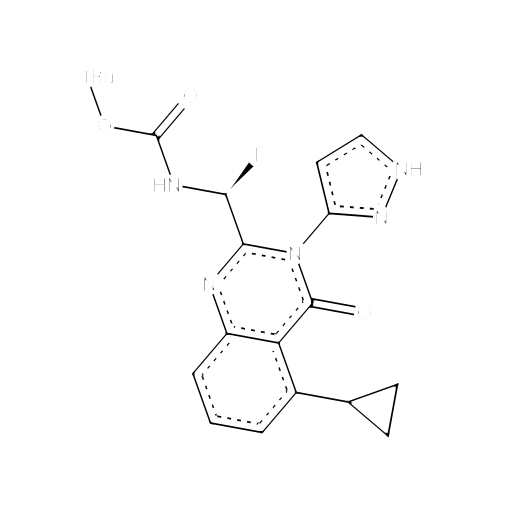 CC[C@H](NC(=O)OC(C)(C)C)c1nc2cccc(C3CC3)c2c(=O)n1-c1cc[nH]n1